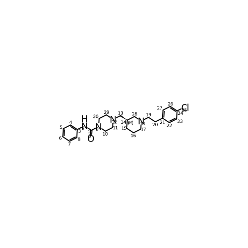 O=C(Nc1ccccc1)N1CCN(C[C@@H]2CCCN(CCc3ccc(Cl)cc3)C2)CC1